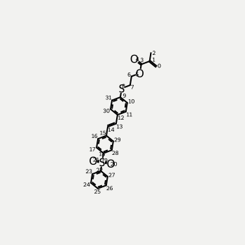 C=C(C)C(=O)OCCSc1ccc(/C=C/c2ccc(S(=O)(=O)c3ccccc3)cc2)cc1